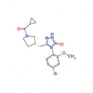 COc1cc(Br)ccc1-n1c(C[C@@H]2CCN(C(=O)C3CC3)C2)n[nH]c1=O